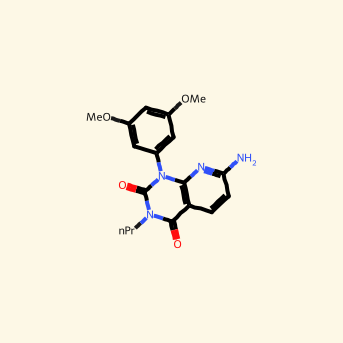 CCCn1c(=O)c2ccc(N)nc2n(-c2cc(OC)cc(OC)c2)c1=O